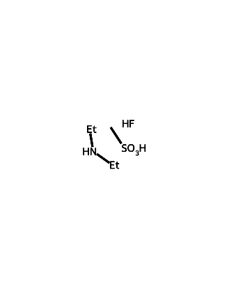 CCNCC.CS(=O)(=O)O.F